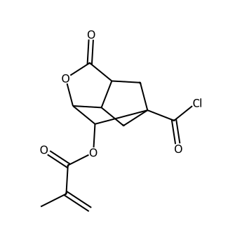 C=C(C)C(=O)OC1C2OC(=O)C3CC1(C(=O)Cl)CC32